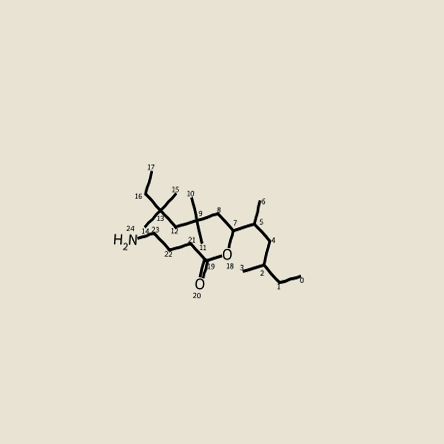 CCC(C)CC(C)C(CC(C)(C)CC(C)(C)CC)OC(=O)CCCN